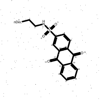 CCCCCCCCCCCCNS(=O)(=O)c1ccc2c(c1)C(=O)c1ccccc1C2=O